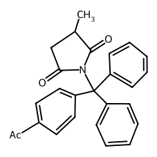 CC(=O)c1ccc(C(c2ccccc2)(c2ccccc2)N2C(=O)CC(C)C2=O)cc1